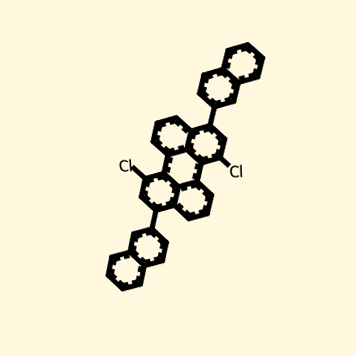 Clc1cc(-c2ccc3ccccc3c2)c2cccc3c4c(Cl)cc(-c5ccc6ccccc6c5)c5cccc(c1c23)c54